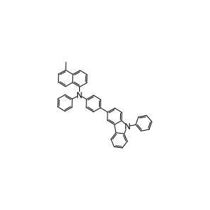 Cc1cccc2c(N(c3ccccc3)c3ccc(-c4ccc5c(c4)c4ccccc4n5-c4ccccc4)cc3)cccc12